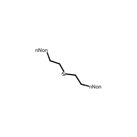 CCCCCCCCCCC[Si]CCCCCCCCCCC